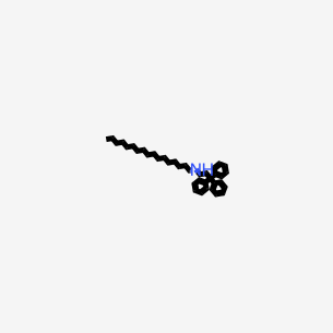 CCCCCCCCCCCCCCCCCNCCC(c1ccccc1)(c1ccccc1)c1ccccc1